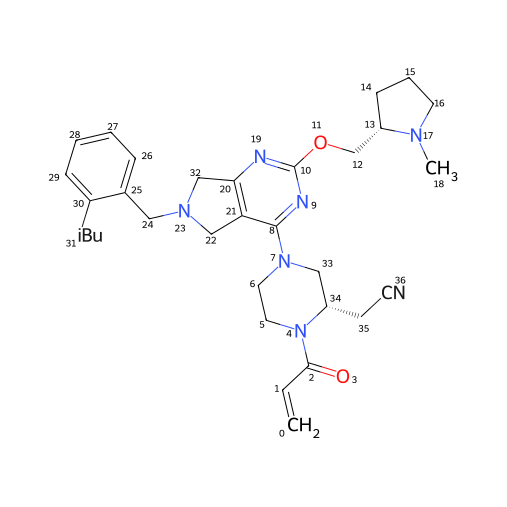 C=CC(=O)N1CCN(c2nc(OC[C@@H]3CCCN3C)nc3c2CN(Cc2ccccc2C(C)CC)C3)C[C@@H]1CC#N